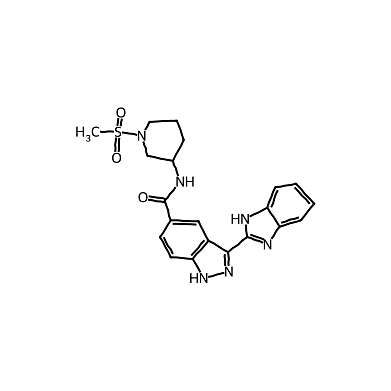 CS(=O)(=O)N1CCCC(NC(=O)c2ccc3[nH]nc(-c4nc5ccccc5[nH]4)c3c2)C1